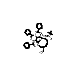 CC(C)(C)[S@@+]([O-])N[C@@H]1C/C=C\[C@@H](CO)CS[C@H]2O[C@H]1[C@H](OC(=O)c1ccccc1)[C@H](OC(=O)c1ccccc1)[C@H]2OC(=O)c1ccccc1